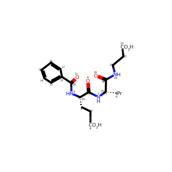 CC(C)[C@H](NC(=O)[C@H](CCC(=O)O)NC(=O)c1ccccc1)C(=O)NCCC(=O)O